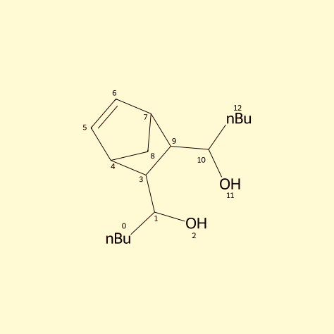 CCCCC(O)C1C2C=CC(C2)C1C(O)CCCC